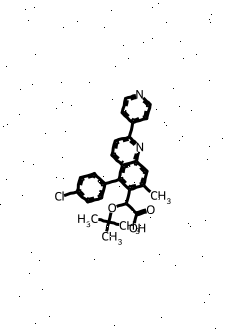 Cc1cc2nc(-c3ccncc3)ccc2c(-c2ccc(Cl)cc2)c1C(OC(C)(C)C)C(=O)O